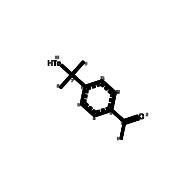 CC(=O)c1ccc(C(C)(C)[TeH])cc1